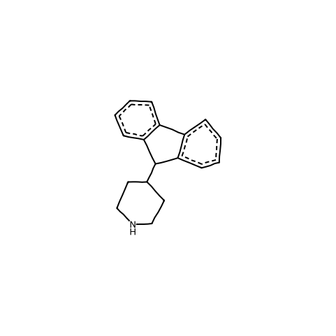 c1ccc2c(c1)-c1ccccc1C2C1CCNCC1